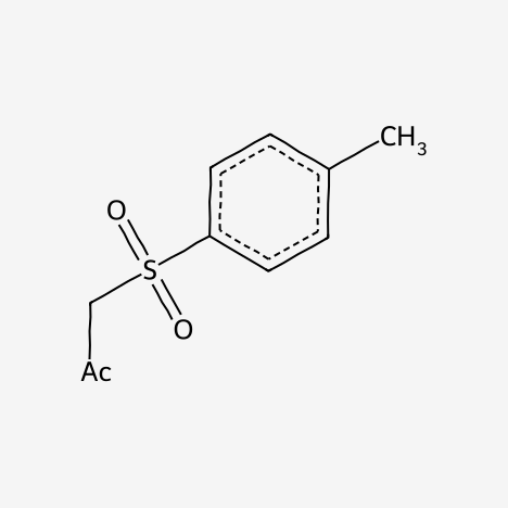 CC(=O)CS(=O)(=O)c1ccc(C)cc1